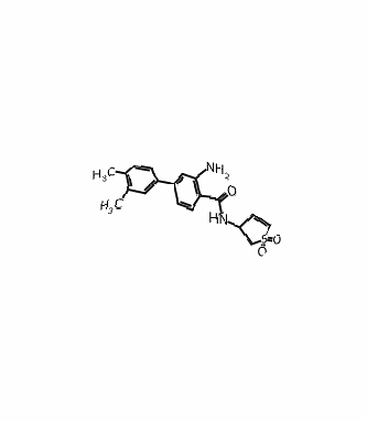 Cc1ccc(-c2ccc(C(=O)NC3C=CS(=O)(=O)C3)c(N)c2)cc1C